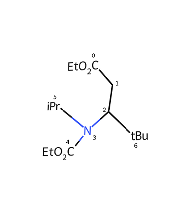 CCOC(=O)CC(N(C(=O)OCC)C(C)C)C(C)(C)C